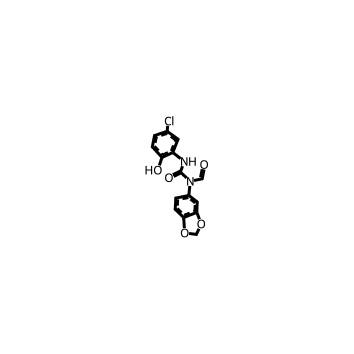 O=CN(C(=O)Nc1cc(Cl)ccc1O)c1ccc2c(c1)OCO2